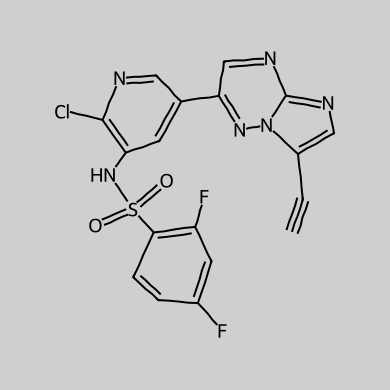 C#Cc1cnc2ncc(-c3cnc(Cl)c(NS(=O)(=O)c4ccc(F)cc4F)c3)nn12